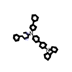 C/C=C(\C=C/Cc1ccccc1)N(c1ccc(-c2ccccc2)cc1)c1ccc(-c2ccc(-n3c4ccccc4c4ccccc43)cc2)cc1